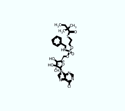 CCC(C)(C)C(=O)SCCOP(=O)(NCc1ccccc1)OC[C@H]1OC(n2cnc3c(Cl)ncnc32)[C@@](C)(O)C1O